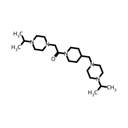 CC(C)N1CCN(CC(=O)N2CCC(CN3CCN(C(C)C)CC3)CC2)CC1